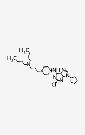 CCCCN(CCCC)CCCC1CCN(Nc2nc(Cl)nc3c2ncn3C2CCCC2)CC1